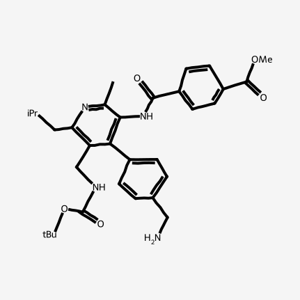 COC(=O)c1ccc(C(=O)Nc2c(C)nc(CC(C)C)c(CNC(=O)OC(C)(C)C)c2-c2ccc(CN)cc2)cc1